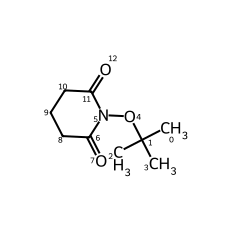 CC(C)(C)ON1C(=O)CCCC1=O